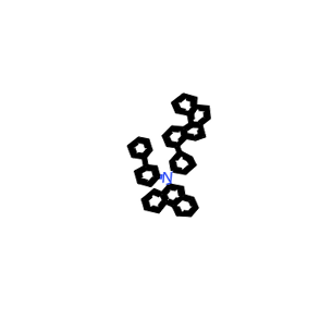 c1ccc(-c2cccc(N(c3cccc(-c4cccc5c4ccc4ccc6ccccc6c45)c3)c3cc4ccccc4c4ccccc34)c2)cc1